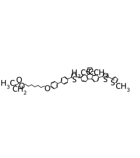 C=C(C)C(=O)OCCCCCCCOc1ccc(-c2ccc(-c3ccc(-c4ccc5c(c4)C4(c6cc(-c7ccc(-c8ccc(C)s8)s7)ccc6-5)C5(C)CCC4(C)CC5)s3)cc2)cc1